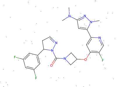 CN(C)c1cc(-c2cc(OC3CN(C(=O)N4N=CCC4c4cc(F)cc(F)c4)C3)c(F)cn2)n(C)n1